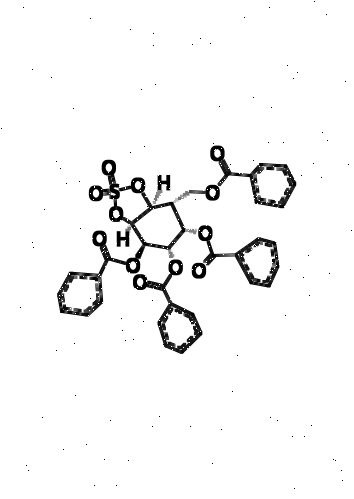 O=C(OC[C@@H]1[C@H](OC(=O)c2ccccc2)[C@H](OC(=O)c2ccccc2)[C@@H](OC(=O)c2ccccc2)[C@H]2OS(=O)(=O)O[C@@H]12)c1ccccc1